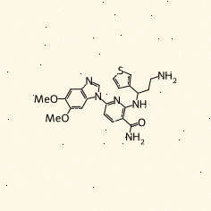 COc1cc2ncn(-c3ccc(C(N)=O)c(NC(CCN)c4ccsc4)n3)c2cc1OC